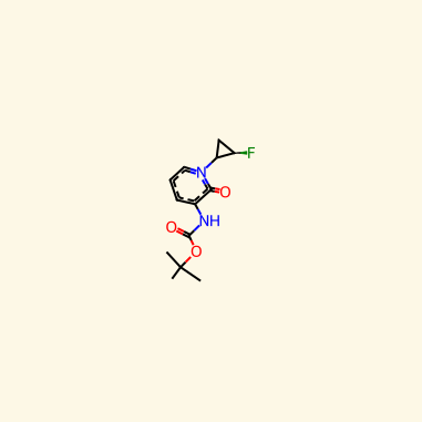 CC(C)(C)OC(=O)Nc1cccn(C2C[C@H]2F)c1=O